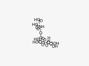 O=C(O)CC[C@H](NC(=O)CCOCCOC(=O)c1c(O)c(O)cc2occ(-c3c[nH]c4cc(O)c(O)cc4c3=O)c(=O)c12)C(=O)O